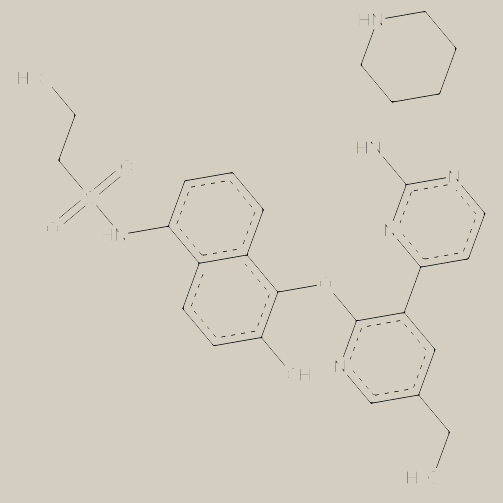 CCCS(=O)(=O)Nc1cccc2c(Oc3ncc(CC)cc3-c3ccnc(N[C@H]4CCCNC4)n3)c(C)ccc12